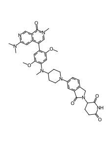 COc1cc(N(C)C2CCN(c3ccc4c(c3)C(=O)N(C3CCC(=O)NC3=O)C4)CC2)c(OC)cc1-c1cn(C)c(=O)c2cnc(N(C)C)cc12